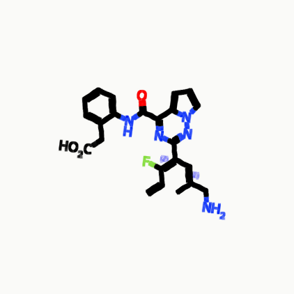 C=C/C(F)=C(\C=C(/C)CN)c1nc(C(=O)Nc2ccccc2CC(=O)O)c2cccn2n1